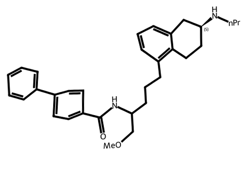 CCCN[C@H]1CCc2c(CCCC(COC)NC(=O)c3ccc(-c4ccccc4)cc3)cccc2C1